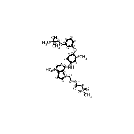 Cc1cc(Nc2ncnc3ccn(CCNC(=O)CS(C)(=O)=O)c23)ccc1Oc1cccc(OCC(C)(C)C)c1.Cl